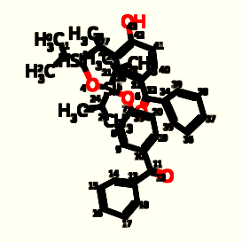 CC(C)[SiH](O[Si](Oc1ccc(C(=O)c2ccccc2)cc1)(C(C)C)C(C)C)C(C)c1cc(C(=O)c2ccccc2)ccc1O